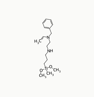 C=CN(CCNCC[CH2][Ti]([CH3])([O]C)[O]C)Cc1ccccc1